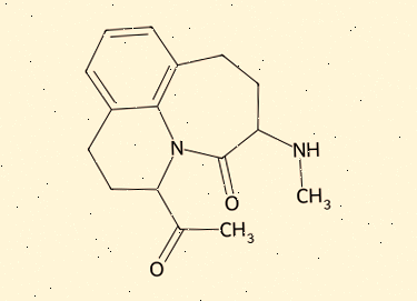 CNC1CCc2cccc3c2N(C1=O)C(C(C)=O)CC3